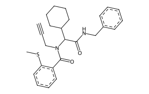 C#CCN(C(=O)c1ccccc1SC)C(C(=O)NCc1ccccc1)C1CCCCC1